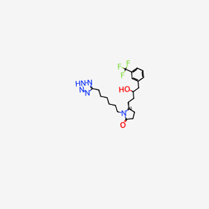 O=C1CC[C@H](CCC(O)Cc2cccc(C(F)(F)F)c2)N1CCCCCCc1nn[nH]n1